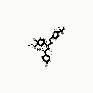 O=C([C@H](O)c1ccc(F)cc1)N(CCc1ccc(C(F)(F)F)cn1)c1ccc(F)c(CO)c1